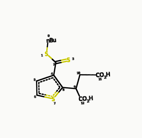 CCCCSC(=S)c1ccsc1C(CC(=O)O)C(=O)O